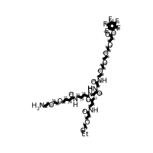 CCOCCOCCC(=O)NCCCC[C@H](NC(=O)CCCNC(=O)CCCOCCOCCN)C(=O)NCC(=O)NCCOCCOCCOCCOCCC(=O)Oc1c(F)c(F)c(F)c(F)c1F